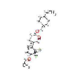 C=CC1CCC(COC2CCC(c3ccc(OCC)c(F)c3F)CO2)CC1